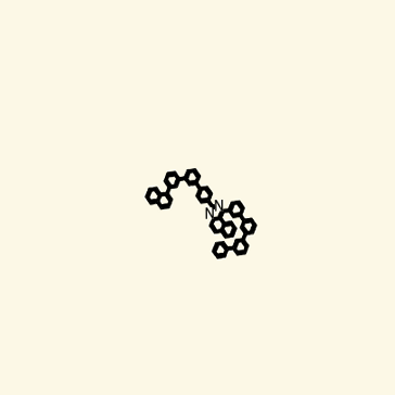 c1ccc(-c2cccc(-c3cccc(-c4cccc(-c5nc(-c6ccc(-c7cccc(-c8cccc(-c9cccc%10ccccc9%10)c8)c7)cc6)nc6ccc7ccccc7c56)c4)c3)c2)cc1